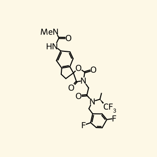 CNC(=O)Nc1ccc2c(c1)CCC21OC(=O)N(CC(=O)N(Cc2cc(F)ccc2F)[C@@H](C)C(F)(F)F)C1=O